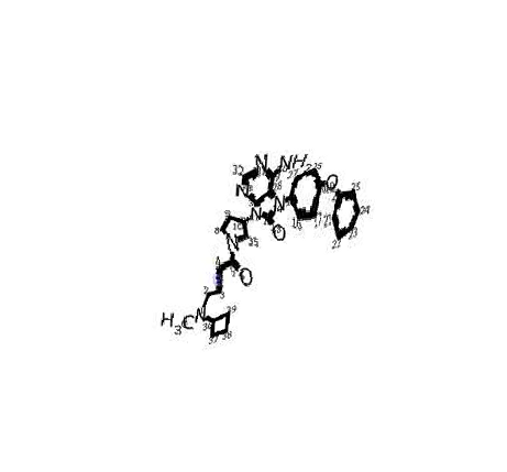 CN(C/C=C/C(=O)N1CC[C@@H](n2c(=O)n(-c3ccc(Oc4ccccc4)cc3)c3c(N)ncnc32)C1)C1CCC1